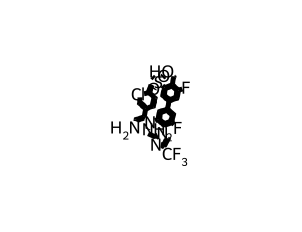 C=C(Cl)\C=C/C(=C\C)C(=C/N)/N(N)c1cc(-c2cc(F)c(CO)c(S(C)(=O)=O)c2)cc(F)c1-n1cc(C(F)(F)F)nc1C